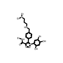 CCNC(=O)c1nnn(-c2cc(C(C)C)c(O)cc2O)c1-c1ccc(CNCCCN(CC)CC)cc1